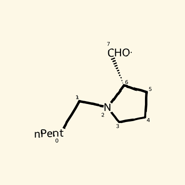 CCCCCCN1CCC[C@H]1[C]=O